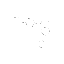 Cc1nnc(-c2ccc3occ(-c4ccc(SC(C)C)cc4)c3c2)o1